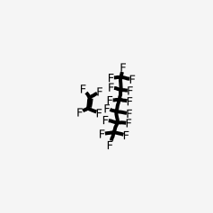 FC(F)(F)C(F)(F)C(F)(F)C(F)(F)C(F)(F)C(F)(F)F.FC(F)=C(F)F